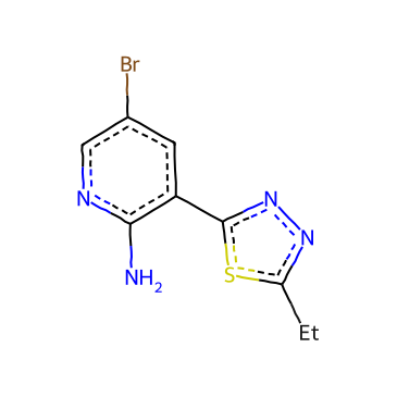 CCc1nnc(-c2cc(Br)cnc2N)s1